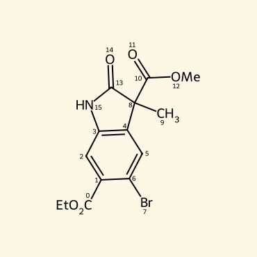 CCOC(=O)c1cc2c(cc1Br)C(C)(C(=O)OC)C(=O)N2